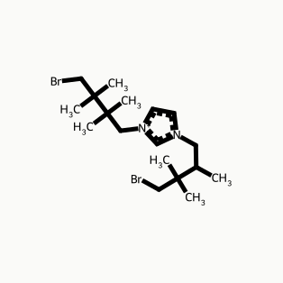 CC(Cn1cc[n+](CC(C)(C)C(C)(C)CBr)c1)C(C)(C)CBr